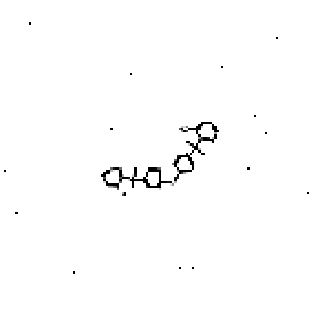 CC(C)(c1ccc(Oc2ccc(C(C)(C)c3ccccc3O)cc2)cc1)c1ccccc1O